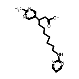 Cc1ncc(C(CCCCCCCNc2ncccn2)CC(=O)O)cn1